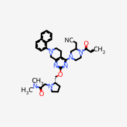 C=CC(=O)N1CCN(c2nc(OC[C@@H]3CCCN3CC(=O)N(C)C)nc3c2CCN(c2cccc4ccccc24)C3)CC1CC#N